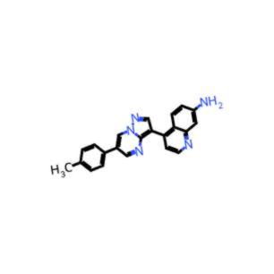 Cc1ccc(-c2cnc3c(-c4ccnc5cc(N)ccc45)cnn3c2)cc1